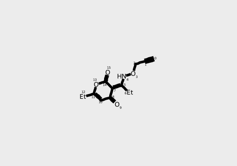 C#CCONC(CC)=C1C(=O)C=C(CC)OC1=O